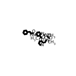 Cc1c(NC(=O)C=Cc2ccccc2)ccc2nc(NC(C)(C)C(=O)N(C)CCc3ccccn3)oc(=O)c12